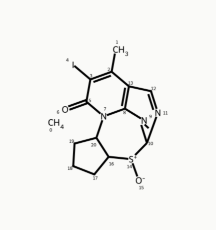 C.Cc1c(I)c(=O)n2c3nc(ncc13)[S+]([O-])C1CCCC12